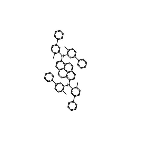 Cc1ccc(-c2ccccc2)cc1N(c1cc(-c2ccccc2)ccc1C)c1ccc2ccc3c(N(c4cc(-c5ccccc5)ccc4C)c4cc(-c5ccccc5)ccc4C)ccc4ccc1c2c43